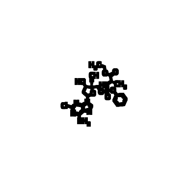 C#C[C@]1(COP(=O)(N[C@@H](C)C(=O)OCC)Oc2ccccc2)O[C@@H](n2cnc3c(N)nc(Cl)nc32)C[C@@H]1O